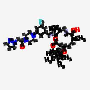 C/C(=C\c1cc(F)cc(N2CCN(C(=O)Cn3cccn3)CC2)c1)[C@H]1OC(=O)C[C@H](O[Si](C)(C)C(C)(C)C)CC[C@H](C)[C@@H](O)/C=C/[C@@H]1C